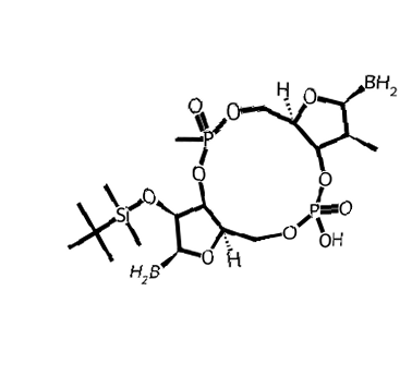 B[C@@H]1O[C@@H]2COP(C)(=O)OC3[C@@H](COP(=O)(O)OC2[C@@H]1C)O[C@@H](B)[C@H]3O[Si](C)(C)C(C)(C)C